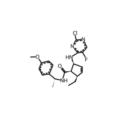 CC[C@@H]1C=C[C@H](Nc2nc(Cl)ncc2F)[C@@H]1C(=O)N[C@H](C)c1ccc(OC)cc1